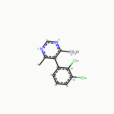 Cc1ncnc(C(=O)O)c1-c1cccc(Cl)c1Cl